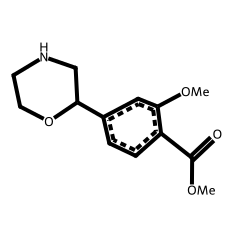 COC(=O)c1ccc(C2CNCCO2)cc1OC